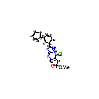 COC(=O)Cc1c(C)nc2nc(-c3cccc(-c4ccccc4)c3)nn2c1Cl